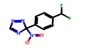 O=[N+]([O-])C1(c2c[c]c(C(F)F)cc2)N=CN=N1